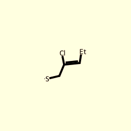 CCC=C(Cl)C[S]